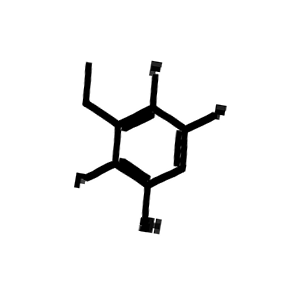 CCc1c(F)c(F)cc(S)c1F